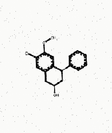 COc1cc2c(cc1Cl)C[C@H](O)C[C@@H]2c1ccccc1